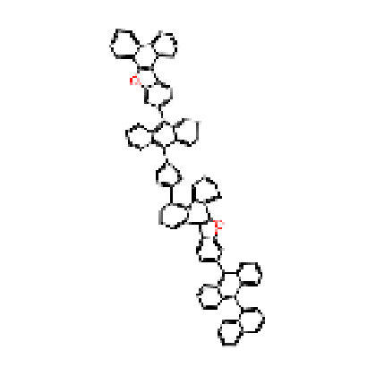 c1ccc2c(-c3c4ccccc4c(-c4ccc5c(c4)oc4c6ccccc6c6c(-c7ccc(-c8c9ccccc9c(-c9ccc%10c(c9)oc9c%11ccccc%11c%11ccccc%11c%109)c9ccccc89)cc7)cccc6c54)c4ccccc34)cccc2c1